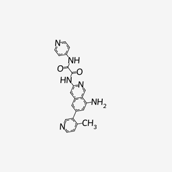 Cc1ccncc1-c1cc(N)c2cnc(NC(=O)C(=O)Nc3ccncc3)cc2c1